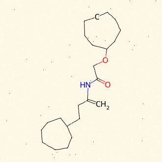 C=C(CCC1CCCCCCC1)NC(=O)COC1CCCCCCCC1